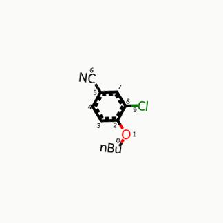 CCCCOc1ccc(C#N)cc1Cl